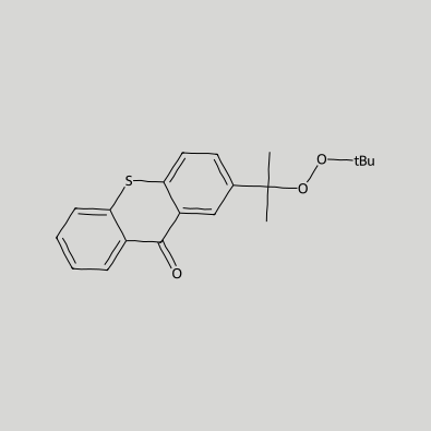 CC(C)(C)OOC(C)(C)c1ccc2sc3ccccc3c(=O)c2c1